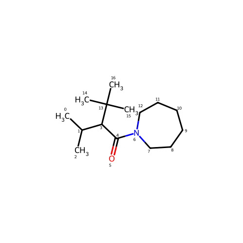 CC(C)C(C(=O)N1CCCCCC1)C(C)(C)C